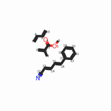 C=C(C)C(=O)OC.C=CC=C.N#CC=CC=Cc1ccccc1